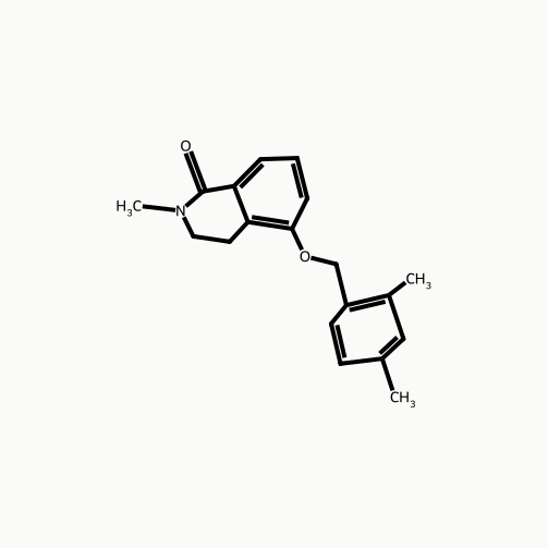 Cc1ccc(COc2cccc3c2CCN(C)C3=O)c(C)c1